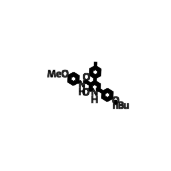 CCCCOc1ccc(-c2cc(-c3ccc(C)cc3)c(C(=O)Nc3ccc(OC)cc3)c(=O)[nH]2)cc1